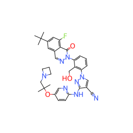 CC(C)(CN1CCC1)Oc1ccc(Nc2nn(-c3cccc(-n4ncc5cc(C(C)(C)C)cc(F)c5c4=O)c3CO)cc2C#N)nc1